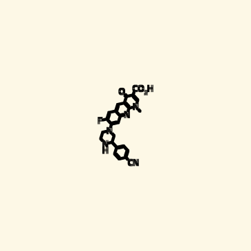 Cn1cc(C(=O)O)c(=O)c2cc3cc(F)c(N4CCNC(c5ccc(C#N)cc5)C4)cc3nc21